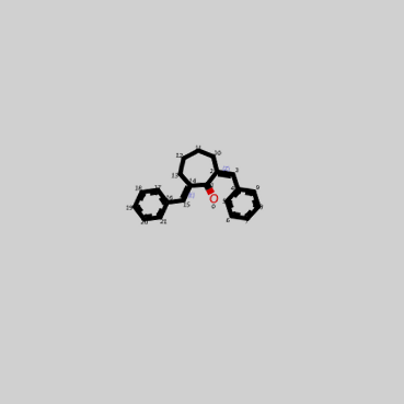 O=C1/C(=C\c2ccccc2)CCCC/C1=C\c1ccccc1